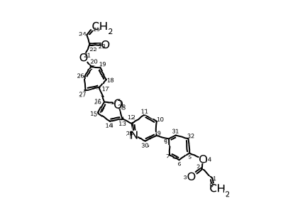 C=CC(=O)Oc1ccc(-c2ccc(-c3ccc(-c4ccc(OC(=O)C=C)cc4)o3)nc2)cc1